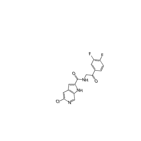 O=C(CNC(=O)c1cc2cc(Cl)ncc2[nH]1)c1ccc(F)c(F)c1